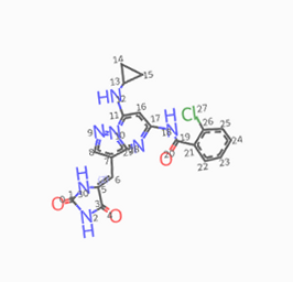 O=C1NC(=O)/C(=C/c2cnn3c(NC4CC4)cc(NC(=O)c4ccccc4Cl)nc23)N1